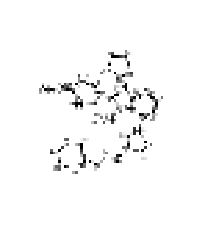 COc1ncc(-c2nc3c(N4CCC(OCCN5CCCCC5)C4)ncnc3n2C2CCCO2)c(OC)n1